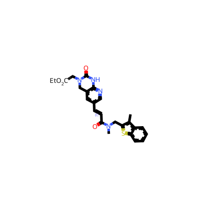 CCOC(=O)CN1Cc2cc(/C=C/C(=O)N(C)Cc3sc4ccccc4c3C)cnc2NC1=O